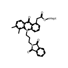 CCCCCCCOC(=O)Cc1cccc2c1c(=O)c1ccc(C)c(C)c1n2CCCN1C(=O)c2ccccc2C1=O